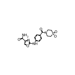 NC(=O)c1coc(Nc2ccc(C(=O)N3CCS(=O)(=O)CC3)cc2)n1